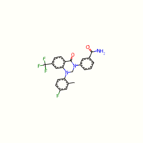 Cc1cc(F)ccc1N1CN(c2cccc(C(N)=O)c2)C(=O)c2ccc(C(F)(F)F)cc21